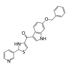 O=C(C1=CSC(c2cccnc2)N1)c1c[nH]c2cc(OCc3ccccc3)ccc12